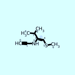 C#CN/C(=C\SC)C(C)C